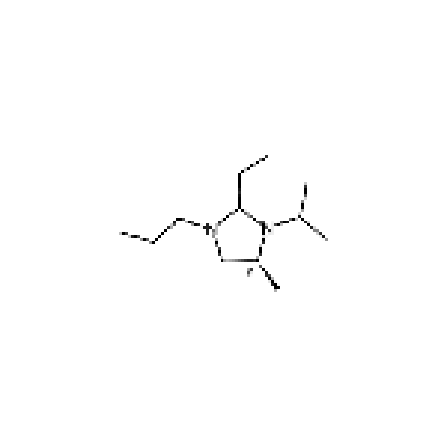 CCCN1C[C@H](C)N(C(C)C)C1CC